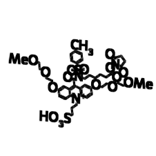 COCCOCCOc1ccc2c(c1)c(C(=O)N(CCCCCC(=O)ON1C(=O)CCC1=O)S(=O)(=O)c1ccc(C)cc1)c1cc(OCCOCCOC)ccc1[n+]2CCCS(=O)(=O)O